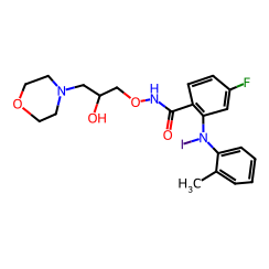 Cc1ccccc1N(I)c1cc(F)ccc1C(=O)NOCC(O)CN1CCOCC1